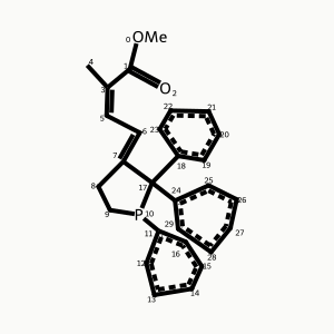 COC(=O)C(C)=CC=C1CCP(c2ccccc2)C1(c1ccccc1)c1ccccc1